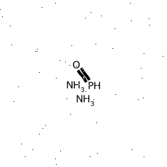 N.N.O=P